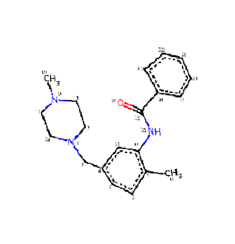 Cc1ccc(CN2CCN(C)CC2)cc1NC(=O)c1ccccc1